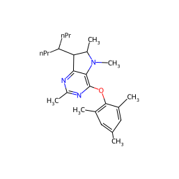 CCCC(CCC)C1c2nc(C)nc(Oc3c(C)cc(C)cc3C)c2N(C)C1C